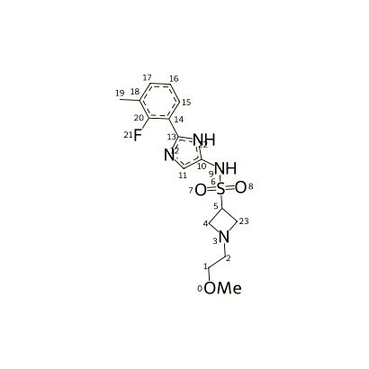 COCCN1CC(S(=O)(=O)Nc2cnc(-c3cccc(C)c3F)[nH]2)C1